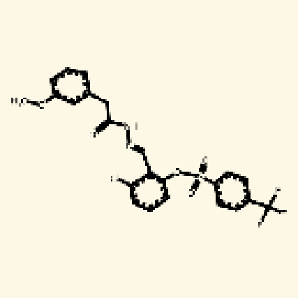 COc1cccc(CC(=O)N/N=C/c2c(Cl)cccc2OS(=O)(=O)c2ccc(C(F)(F)F)cc2)c1